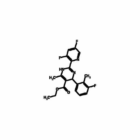 CCOC(=O)C1=C(C)NC(c2ncc(F)cc2F)=NC1c1cccc(F)c1C